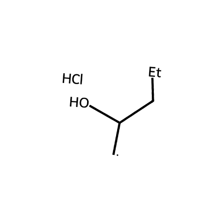 Cl.[CH2]C(O)CCC